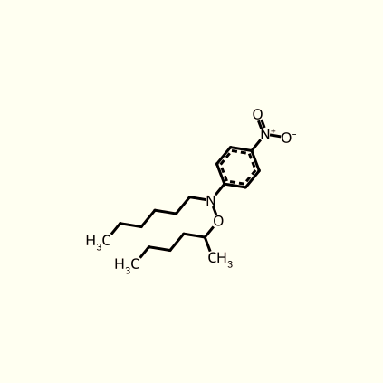 CCCCCCN(OC(C)CCCC)c1ccc([N+](=O)[O-])cc1